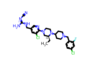 CC[C@H]1CN(c2ncc(CN/C(N)=N\C#N)cc2Cl)CCN1C1CCN(Cc2ccc(Cl)cc2F)CC1